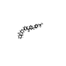 O=C(O)Cc1ccc(Oc2cccc(Nc3cncc(N4CCCC(OC5=C(O)CCC=C5)C4)n3)n2)cc1